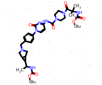 CC(NC(=O)OC(C)(C)C)C1C2CN(Cc3ccc(-n4ccc(NC(=O)N5CCN(C(=O)C(C)(C)NC(=O)OC(C)(C)C)CC5)nc4=O)cc3)CC21